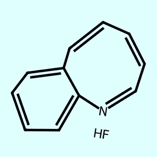 C1=CC=Nc2ccccc2C=C1.F